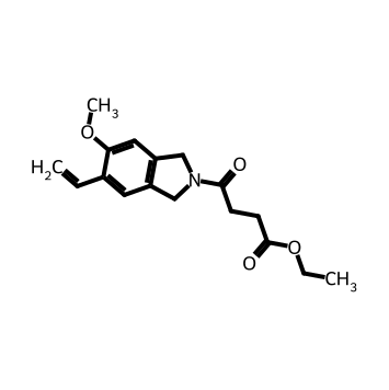 C=Cc1cc2c(cc1OC)CN(C(=O)CCC(=O)OCC)C2